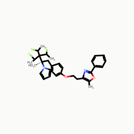 Cc1oc(-c2ccccc2)nc1CCOc1ccc(C[C@@](C(=O)O)(n2cccc2)C(C(C)F)(C(C)F)C(C)F)cc1